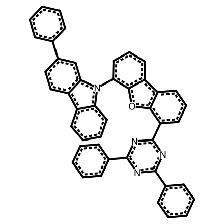 c1ccc(-c2ccc3c4ccccc4n(-c4cccc5c4oc4c(-c6nc(-c7ccccc7)nc(-c7ccccc7)n6)cccc45)c3c2)cc1